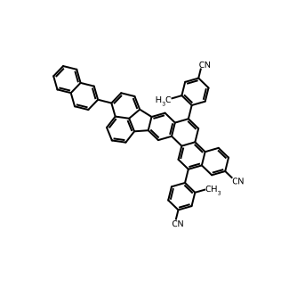 Cc1cc(C#N)ccc1-c1cc2c3cc4c(cc3c(-c3ccc(C#N)cc3C)cc2c2ccc(C#N)cc12)-c1ccc(-c2ccc3ccccc3c2)c2cccc-4c12